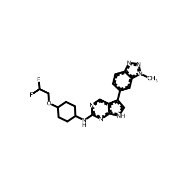 Cn1nnc2ccc(-c3c[nH]c4nc(NC5CCC(OCC(F)F)CC5)ncc34)cc21